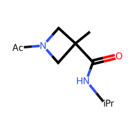 CC(=O)N1CC(C)(C(=O)NC(C)C)C1